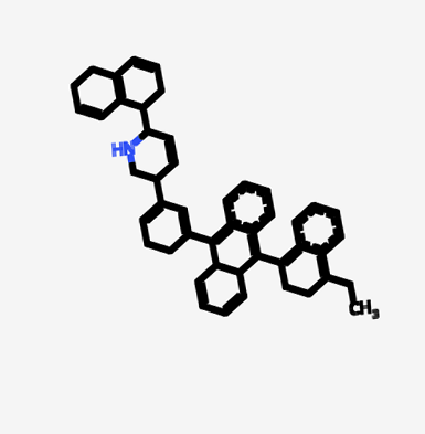 CCC1=c2ccccc2=C(C2=c3ccccc3=C(C3=CC(C4C=CC(C5CC=CC6=C5C=CCC6)NC4)=CCC3)C3C=CC=CC23)CC1